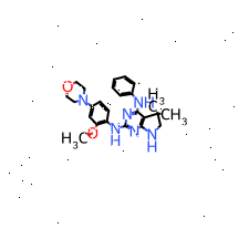 COc1cc(N2CCOCC2)ccc1Nc1nc2c(c(Nc3[c]cccc3)n1)C(C)(C)CN2